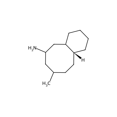 CC1CC[C@H]2CCCCC2CC(N)C1